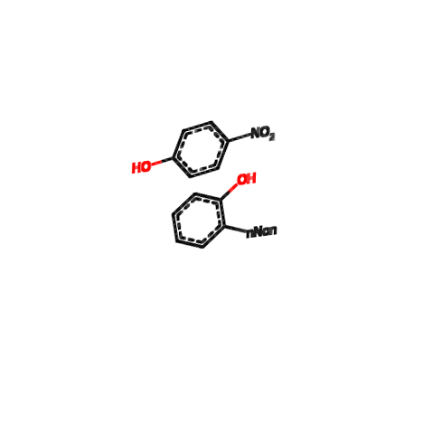 CCCCCCCCCc1ccccc1O.O=[N+]([O-])c1ccc(O)cc1